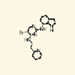 Brc1cnc(Nc2cccc3cc[nH]c23)nc1NCCc1ccccn1